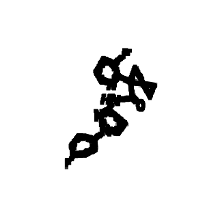 O=C(Nc1ccn(-c2ccc(F)cc2)n1)C1(c2ncccc2F)CC12CC2